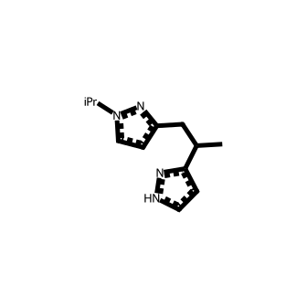 CC(Cc1ccn(C(C)C)n1)c1cc[nH]n1